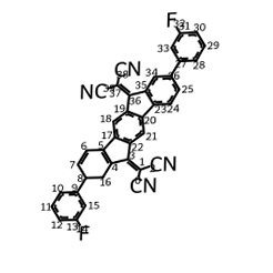 N#CC(C#N)=C1C2=C(C=CC(c3cccc(F)c3)C2)c2cc3c(cc21)-c1ccc(-c2cccc(F)c2)cc1C3=C(C#N)C#N